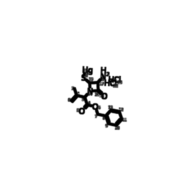 C=C(C)C(C(=O)OCc1ccccc1)N1C(=O)C(N)C1[S][Hg].Cl.Cl